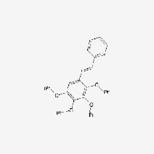 CC(C)Oc1cc(C=Cc2ccccc2)c(OC(C)C)c(OC(C)C)c1OC(C)C